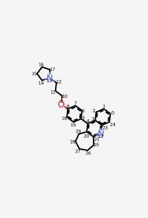 c1ccc2c(-c3ccc(OCCCN4CCCC4)cc3)c3c(nc2c1)CCCCC3